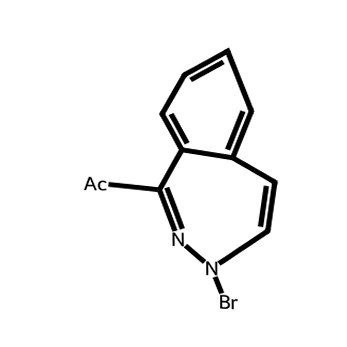 CC(=O)C1=NN(Br)C=Cc2ccccc21